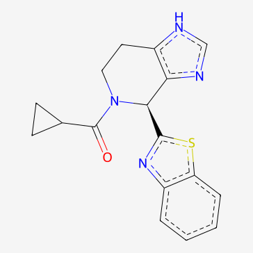 O=C(C1CC1)N1CCc2[nH]cnc2[C@H]1c1nc2ccccc2s1